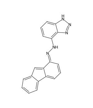 C1=CC(=NNc2cccc3[nH]nnc23)C2=Cc3ccccc3C2=C1